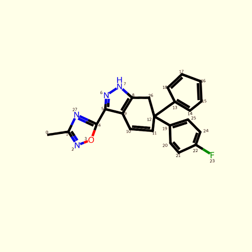 Cc1noc(-c2n[nH]c3c2C=CC(c2ccccc2)(c2ccc(F)cc2)C3)n1